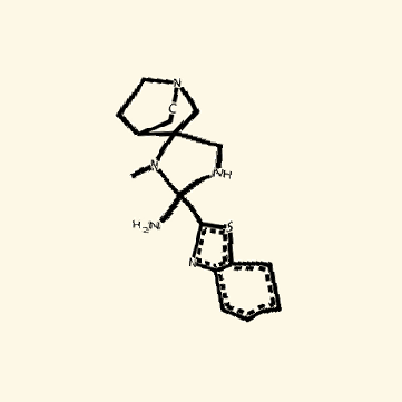 CN1C(N)(c2nc3ccccc3s2)NCC12CN1CCC2CC1